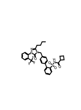 CCCCc1nn(-c2ccccc2C(F)(F)F)c(=O)n1Cc1ccc(-c2ccccc2S(=O)(=O)NC(=O)C2CCC2)cc1